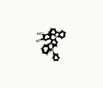 N#Cc1ccc(-c2c(-n3c4ccccc4c4ccccc43)ccc3c2c2ccccc2n3-c2ccccc2)cc1C#N